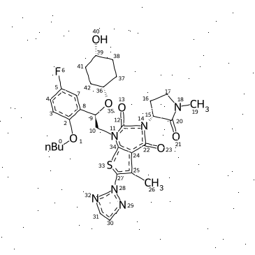 CCCCOc1ccc(F)cc1[C@H](Cn1c(=O)n([C@@H]2CCN(C)C2=O)c(=O)c2c(C)c(-n3nccn3)sc21)O[C@H]1CC[C@@H](O)CC1